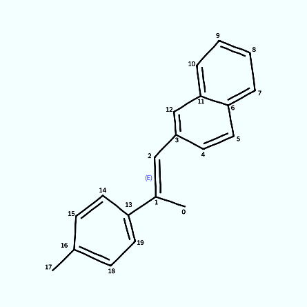 C/C(=C\c1ccc2ccccc2c1)c1ccc(C)cc1